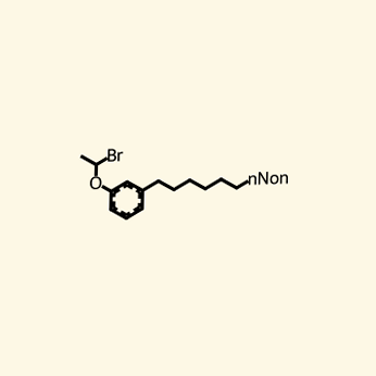 CCCCCCCCCCCCCCCc1cccc(OC(C)Br)c1